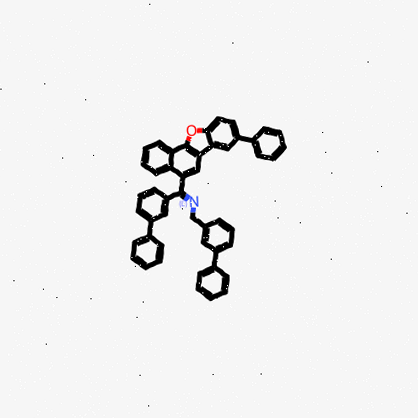 c1ccc(-c2cccc(C/N=C(\c3cccc(-c4ccccc4)c3)c3cc4c5cc(-c6ccccc6)ccc5oc4c4ccccc34)c2)cc1